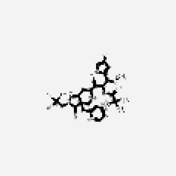 COC(c1cc(Cl)cs1)C(NC(=O)C(C)(C)N)C(=O)C1CC2=NN(CC(F)(F)F)C(=O)C2(Cc2ccccn2)CN1